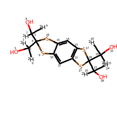 [2H]C([2H])(O)C1(C([2H])([2H])O)Sc2cc3c(cc2S1)SC(C([2H])([2H])O)(C([2H])([2H])O)S3